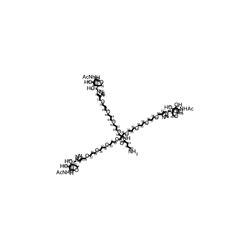 CC(=O)N[C@H]1[C@H]2OC[C@@](Cn3cc(COCCCOCCCOCCCOCC(COCCCOCCCOCCCOCc4cn(C[C@]56CO[C@@H](O5)[C@H](NC(C)=O)[C@@H](O)[C@H]6O)nn4)(COCCCOCCCOCCCOCc4cn(C[C@]56CO[C@@H](O5)[C@H](NC(C)=O)[C@@H](O)[C@H]6O)nn4)NC(=O)CCCN)nn3)(O2)[C@H](O)[C@@H]1O